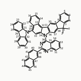 CC1(C)c2ccccc2-c2cc3c4c5ccccc5c(-n5c6ccccc6c6ccccc65)cc4n(-c4nc(-c5ccc6ccccc6c5)nc5ccccc45)c3cc21